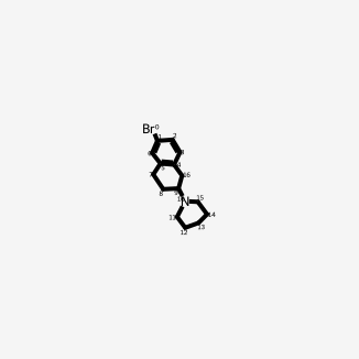 Brc1ccc2c(c1)CCC(N1CCCCC1)C2